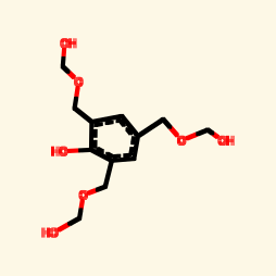 OCOCc1cc(COCO)c(O)c(COCO)c1